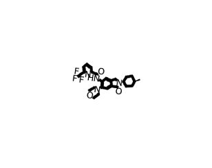 C[C@H]1CC[C@H](N2Cc3cc(NC(=O)c4cccc(C(F)(F)F)n4)c(N4CCOCC4)cc3C2=O)CC1